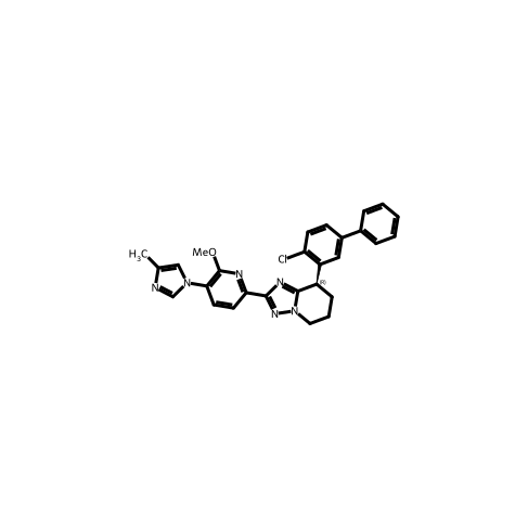 COc1nc(-c2nc3n(n2)CCC[C@@H]3c2cc(-c3ccccc3)ccc2Cl)ccc1-n1cnc(C)c1